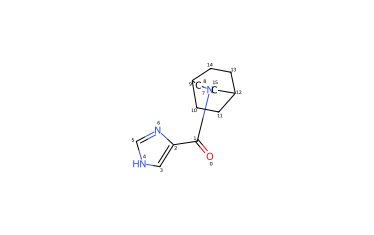 O=C(c1c[nH]cn1)N1CC2CCC(CC2)C1